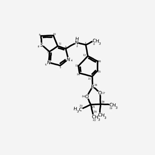 CC(Nc1ncnc2sccc12)c1ccc(B2OC(C)(C)C(C)(C)O2)cc1